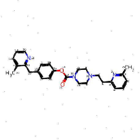 Cc1cccc(CCN2CCN(C(=O)Oc3ccc(Cc4ncccc4C)cc3)CC2)n1